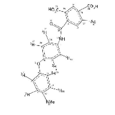 [2H]c1c([2H])c(Oc2c([2H])c([2H])c(NC(=O)c3cc(C(C)=O)c(C(=O)O)cc3C(=O)O)c([2H])c2[2H])c([2H])c([2H])c1NC